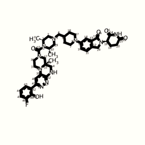 C[C@@H]1CN(CC2CCN(c3ccc4c(c3)C(=O)N([C@@H]3CCC(=O)NC3=O)C4)CC2)C[C@H](C)N1C(=O)N1CCN2c3cc(-c4cccc(F)c4O)nnc3NC[C@@]2(C)C1